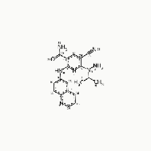 CC(C)N(N)c1nc(Nc2ccc3ncccc3c2)c(C(N)=O)cc1C#N